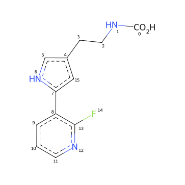 O=C(O)NCCc1c[nH]c(-c2cccnc2F)c1